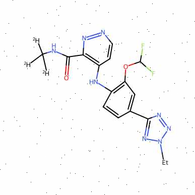 [2H]C([2H])([2H])NC(=O)c1nnccc1Nc1ccc(-c2nnn(CC)n2)cc1OC(F)F